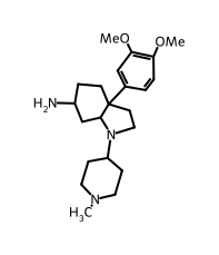 COc1ccc(C23CCC(N)CC2N(C2CCN(C)CC2)CC3)cc1OC